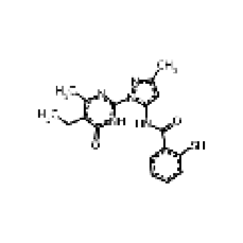 CCc1c(C)nc(-n2nc(C)cc2NC(=O)c2ccccc2S)[nH]c1=O